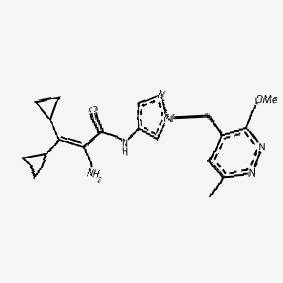 COc1nnc(C)cc1Cn1cc(NC(=O)C(N)=C(C2CC2)C2CC2)cn1